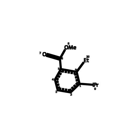 [CH2]C(C)c1cccc(C(=O)OC)c1CC